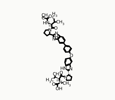 COC(=O)N[C@H](C(=O)N1CCCC1c1nc2cc(-c3ccc(Oc4ccc5[nH]c([C@@H]6CCCN6C(=O)[C@H](C(C)C)N(C)C(=O)O)nc5c4)cc3)ccc2[nH]1)C(C)C